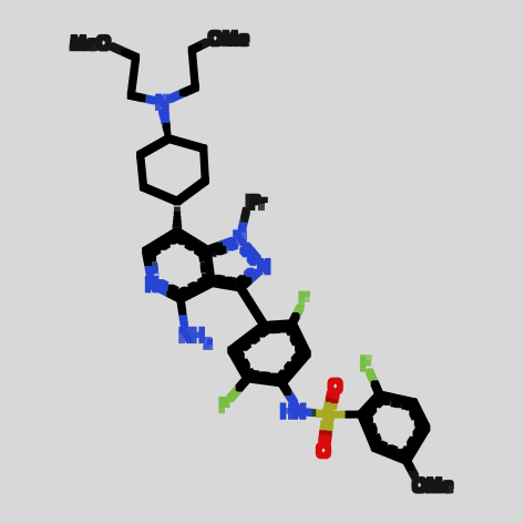 COCCN(CCOC)[C@H]1CC[C@H](c2cnc(N)c3c(-c4cc(F)c(NS(=O)(=O)c5cc(OC)ccc5F)cc4F)nn(C(C)C)c32)CC1